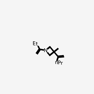 C=C(CC)N1CC(C)(C(=C)CCC)C1